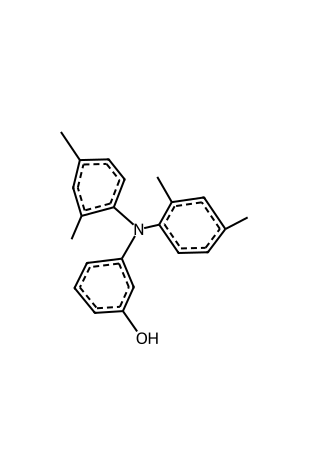 Cc1ccc(N(c2cccc(O)c2)c2ccc(C)cc2C)c(C)c1